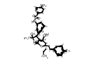 CCC[C@@]1(CCc2ccc(F)cc2)CC(O)=C(C(c2cccc(NS(=O)(=O)c3ccc(N)cn3)c2)C(C)(C)C)C(=O)O1